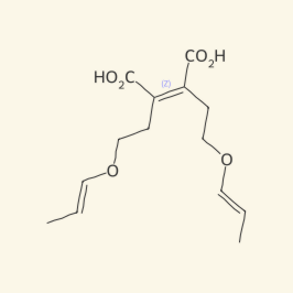 CC=COCC/C(C(=O)O)=C(\CCOC=CC)C(=O)O